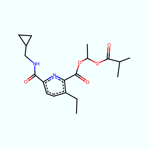 CCc1ccc(C(=O)NCC2CC2)nc1C(=O)OC(C)OC(=O)C(C)C